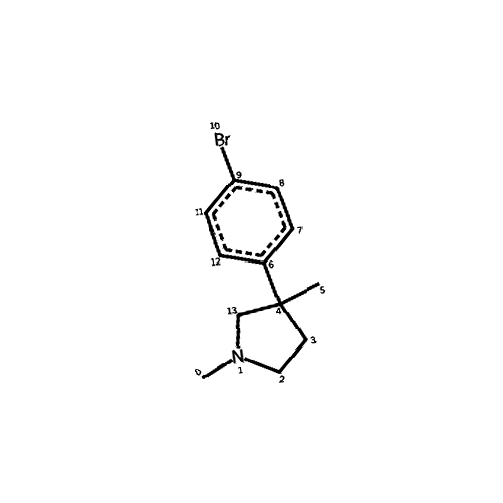 CN1CCC(C)(c2ccc(Br)cc2)C1